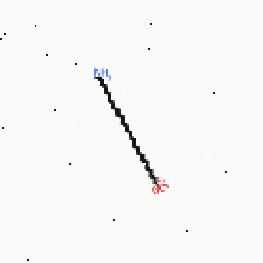 CO[Si](CCCCCCCCCCCCCCCCCCCCCCCCCCCCCN)(OC)OC